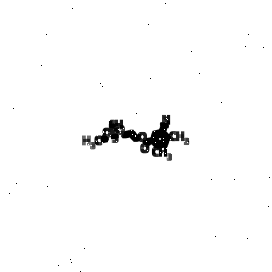 CCOP(=S)(S)OCCCOC(=O)c1cc(C#N)c(C)cc1C